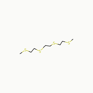 CSCCSCCSCCSC